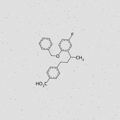 CC(CCc1ccc(C(=O)O)cc1)c1cc(F)ccc1OCc1ccccc1